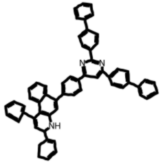 C1=CCCC(C2C=C(c3ccccc3)c3c(cc(-c4ccc(-c5cc(-c6ccc(-c7ccccc7)cc6)nc(-c6ccc(-c7ccccc7)cc6)n5)cc4)c4ccccc34)N2)=C1